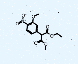 CCOC(=O)C(C(=O)OC)c1ccc([N+](=O)[O-])c(OC)c1